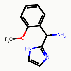 NC(c1ncc[nH]1)c1ccccc1OC(F)(F)F